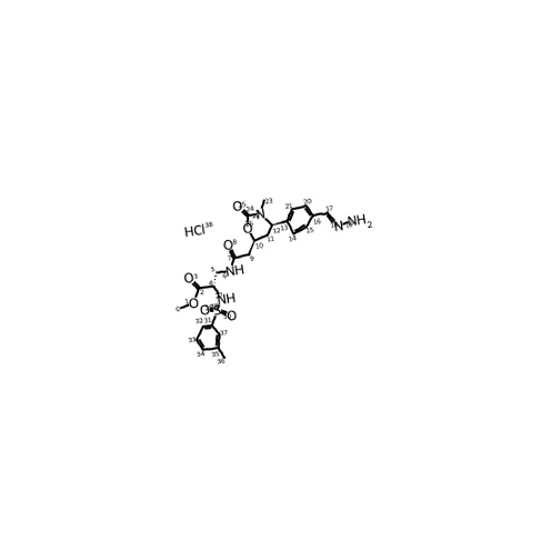 COC(=O)[C@H](CNC(=O)C[C@@H]1C[C@H](c2ccc(C=NN)cc2)N(C)C(=O)O1)NS(=O)(=O)c1cccc(C)c1.Cl